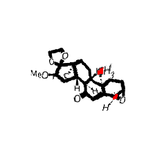 CO[C@@H]1C[C@H]2[C@@H]3C(=O)C=C4[C@@H]5O[C@@H]5CC[C@]4(C)[C@H]3CC[C@]2(C)C12OCCO2